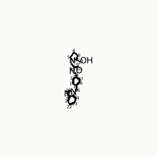 OC[C@@H]1CCCN1Cc1coc(-c2ccc(Cn3cnc4ccccc43)cc2)n1